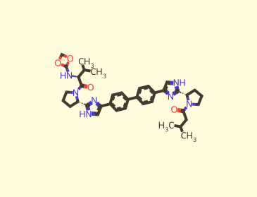 CC(C)CC(=O)N1CCC[C@H]1c1nc(-c2ccc(-c3ccc(-c4c[nH]c([C@@H]5CCCN5C(=O)[C@@H](NC5OCO5)C(C)C)n4)cc3)cc2)c[nH]1